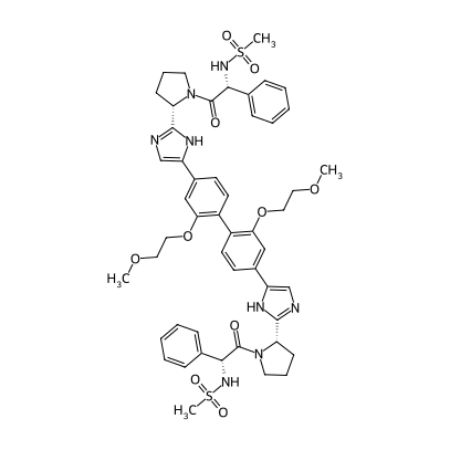 COCCOc1cc(-c2cnc([C@@H]3CCCN3C(=O)[C@H](NS(C)(=O)=O)c3ccccc3)[nH]2)ccc1-c1ccc(-c2cnc([C@@H]3CCCN3C(=O)[C@H](NS(C)(=O)=O)c3ccccc3)[nH]2)cc1OCCOC